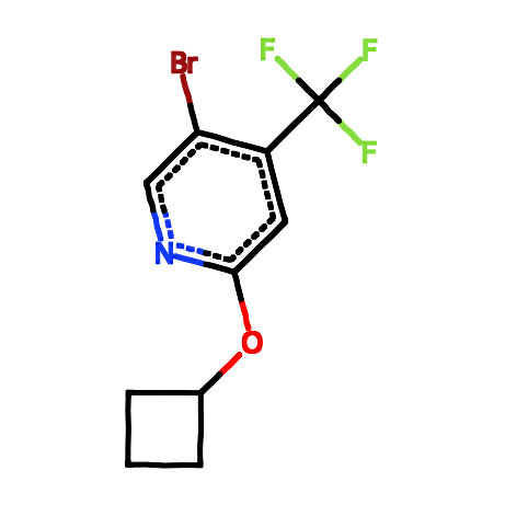 FC(F)(F)c1cc(OC2CCC2)ncc1Br